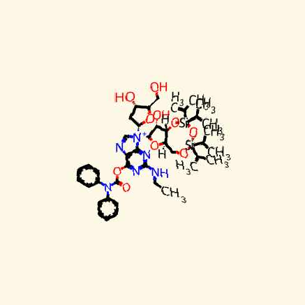 CCNc1nc(OC(=O)N(c2ccccc2)c2ccccc2)c2c(n1)[N+]([C@@H]1C[C@H](O)[C@@H](CO)O1)([C@@H]1O[C@@H]3CO[Si](C(C)C)(C(C)C)O[Si](C(C)C)(C(C)C)O[C@H]3[C@H]1O)C=N2